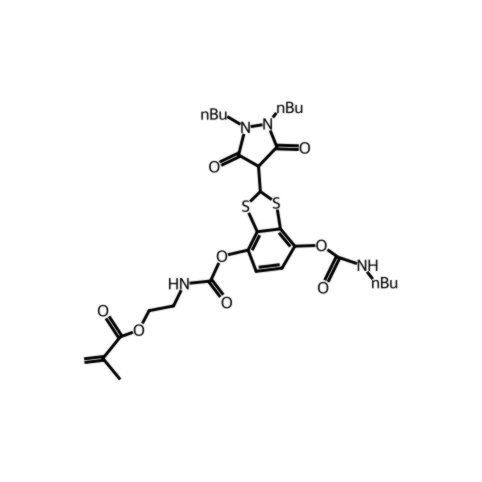 C=C(C)C(=O)OCCNC(=O)Oc1ccc(OC(=O)NCCCC)c2c1SC(C1C(=O)N(CCCC)N(CCCC)C1=O)S2